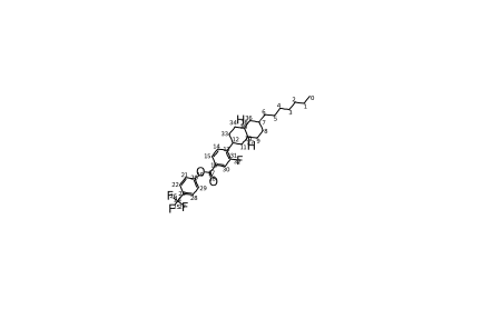 CCCCCCC[C@H]1CC[C@@H]2CC(c3ccc(C(=O)Oc4ccc(C(F)(F)F)cc4)cc3F)CC[C@H]2C1